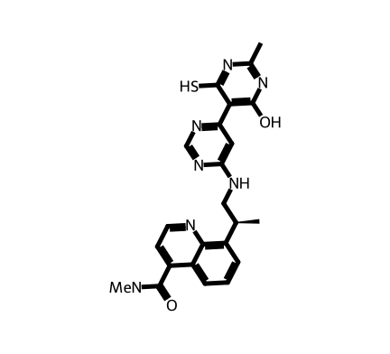 CNC(=O)c1ccnc2c([C@H](C)CNc3cc(-c4c(O)nc(C)nc4S)ncn3)cccc12